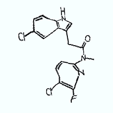 CN(C(=O)Cc1c[nH]c2ccc(Cl)cc12)c1ccc(Cl)c(F)n1